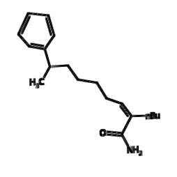 CCCCC(=CCCCCC(C)c1ccccc1)C(N)=O